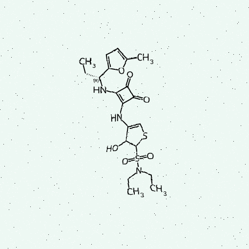 CC[C@@H](Nc1c(NC2=CSC(S(=O)(=O)N(CC)CC)C2O)c(=O)c1=O)c1ccc(C)o1